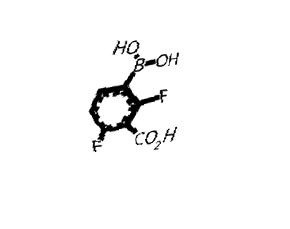 O=C(O)c1c(F)ccc(B(O)O)c1F